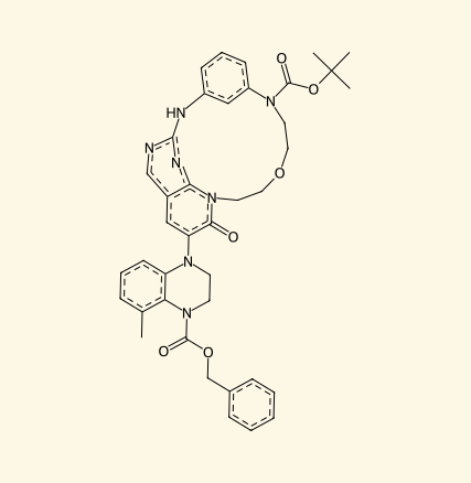 Cc1cccc2c1N(C(=O)OCc1ccccc1)CCN2c1cc2cnc3nc2n(c1=O)CCOCCN(C(=O)OC(C)(C)C)c1cccc(c1)N3